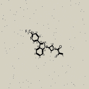 C=C(F)C(=O)N1CC(n2nc(-c3ccc(C(F)(F)F)nc3)c3ccccc32)C1